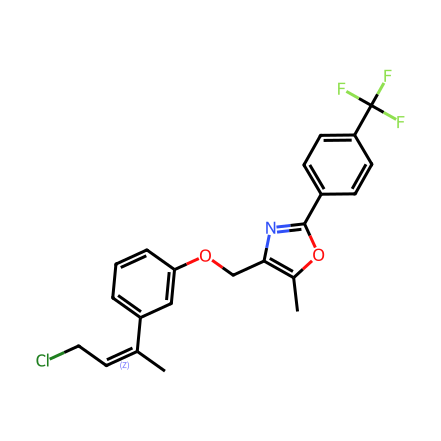 C/C(=C/CCl)c1cccc(OCc2nc(-c3ccc(C(F)(F)F)cc3)oc2C)c1